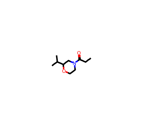 CCC(=O)N1CCOC(C(C)C)C1